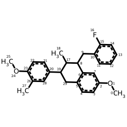 COc1ccc2c(c1)C(Cc1ccccc1F)C(C)C(c1ccc(OC)c(C)c1)C2